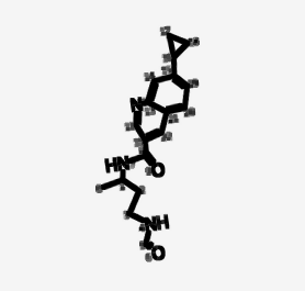 CC(CCNC=O)NC(=O)c1cnc2cc(C3CC3)ccc2c1